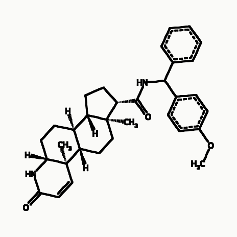 COc1ccc(C(NC(=O)[C@H]2CC[C@H]3[C@@H]4CC[C@H]5NC(=O)C=C[C@]5(C)[C@H]4CC[C@]23C)c2ccccc2)cc1